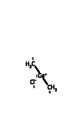 [CH3][Ga+][CH3].[Cl-]